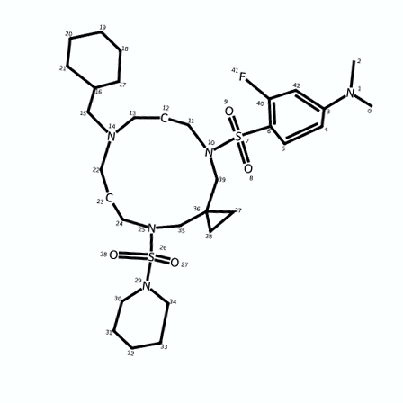 CN(C)c1ccc(S(=O)(=O)N2CCCN(CC3CCCCC3)CCCN(S(=O)(=O)N3CCCCC3)CC3(CC3)C2)c(F)c1